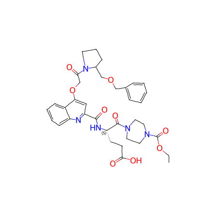 CCOC(=O)N1CCN(C(=O)[C@H](CCC(=O)O)NC(=O)c2cc(OCC(=O)N3CCCC3COCc3ccccc3)c3ccccc3n2)CC1